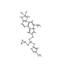 Cc1csc(CN(CCc2nc3c4ccc5c(c4nc(N)n3n2)OC(F)(F)O5)CC2CC2)n1